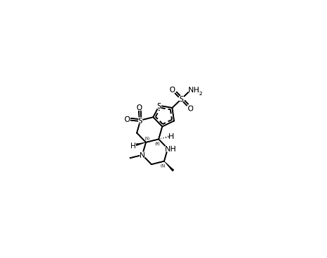 C[C@H]1CN(C)[C@@H]2CS(=O)(=O)c3sc(S(N)(=O)=O)cc3[C@H]2N1